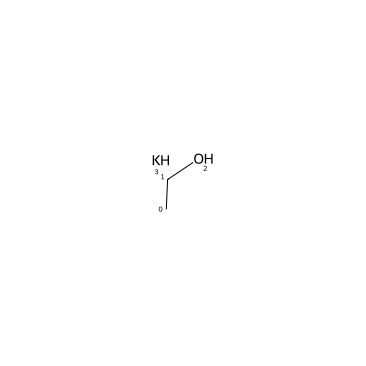 CCO.[KH]